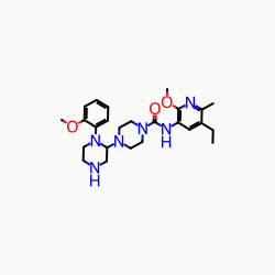 CCc1cc(NC(=O)N2CCN(C3CNCCN3c3ccccc3OC)CC2)c(OC)nc1C